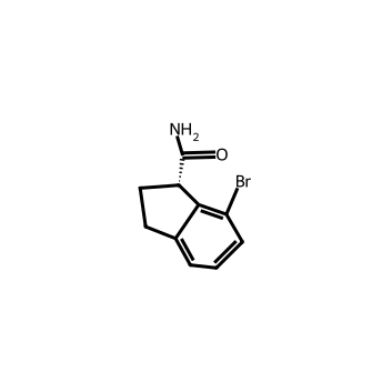 NC(=O)[C@H]1CCc2cccc(Br)c21